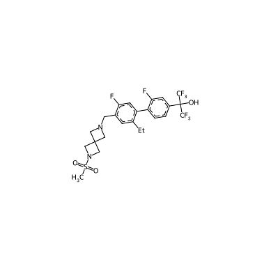 CCc1cc(CN2CC3(C2)CN(S(C)(=O)=O)C3)c(F)cc1-c1ccc(C(O)(C(F)(F)F)C(F)(F)F)cc1F